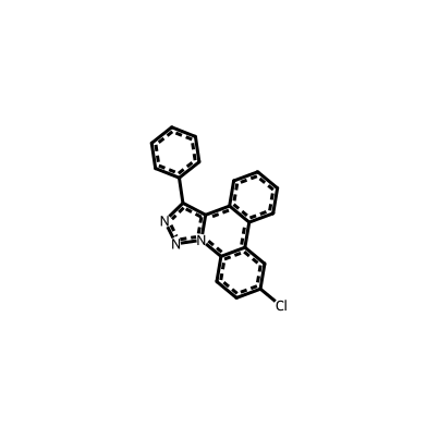 Clc1ccc2c(c1)c1ccccc1c1c(-c3ccccc3)nnn21